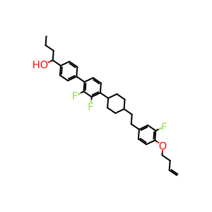 C=CCCOc1ccc(CCC2CCC(c3ccc(-c4ccc(C(O)CCC)cc4)c(F)c3F)CC2)cc1F